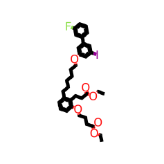 CCOC(=O)CCCOc1cccc(CCCCCCOc2cc(I)cc(-c3cccc(F)c3)c2)c1CCC(=O)OCC